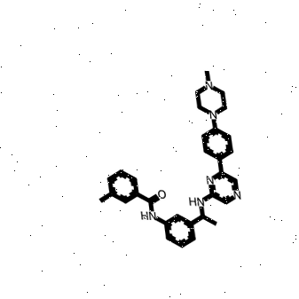 Cc1cccc(C(=O)Nc2cccc(C(C)Nc3cncc(-c4ccc(N5CCN(C)CC5)cc4)n3)c2)c1